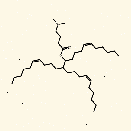 CCCCC/C=C\CCCC(CCC/C=C\CCCCC)C(CCC/C=C\CCCCC)OC(=O)CCCN(C)C